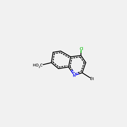 CCc1cc(Cl)c2ccc(C(=O)O)cc2n1